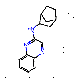 c1ccc2nc(NC3CC4CCC3C4)cnc2c1